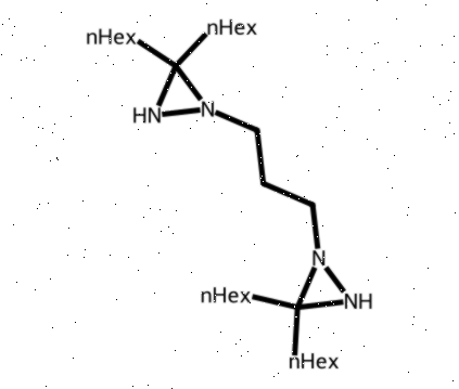 CCCCCCC1(CCCCCC)NN1CCCN1NC1(CCCCCC)CCCCCC